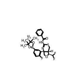 CC1(C)OB(c2ccc(F)c([C@]34CO[C@H](C(F)F)[C@H]3CSC(NC(=O)c3ccccc3)=N4)c2)OC1(C)C